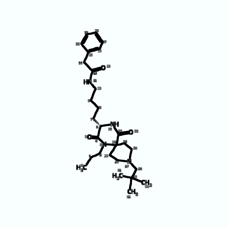 CCCN1C(=O)[C@H](CCCCNC(=O)Cc2ccccc2)NC(=O)C12CCN(CC(C)(C)C)CC2